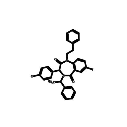 O=C(O)C(c1ccccc1)N1C(=O)c2cc(I)ccc2N(CCc2ccccc2)C(=O)C1c1ccc(Cl)cc1